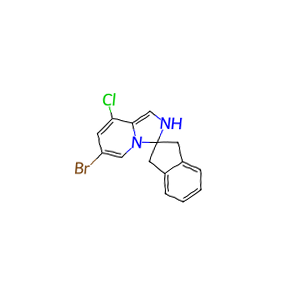 ClC1=CC(Br)=CN2C1=CNC21Cc2ccccc2C1